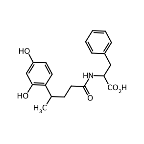 CC(CCC(=O)NC(Cc1ccccc1)C(=O)O)c1ccc(O)cc1O